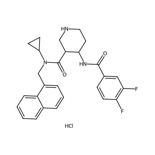 Cl.O=C(NC1CCNCC1C(=O)N(Cc1cccc2ccccc12)C1CC1)c1ccc(F)c(F)c1